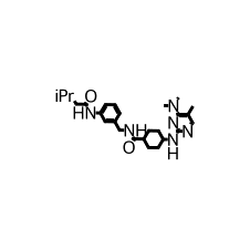 Cc1cnc(NC2CCC(C(=O)NCc3cccc(NC(=O)CC(C)C)c3)CC2)nc1N(C)C